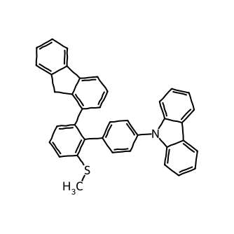 CSc1cccc(-c2cccc3c2Cc2ccccc2-3)c1-c1ccc(-n2c3ccccc3c3ccccc32)cc1